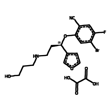 N#Cc1cc(F)c(Br)cc1O[C@H](CCNCCCO)c1ccoc1.O=C(O)C(=O)O